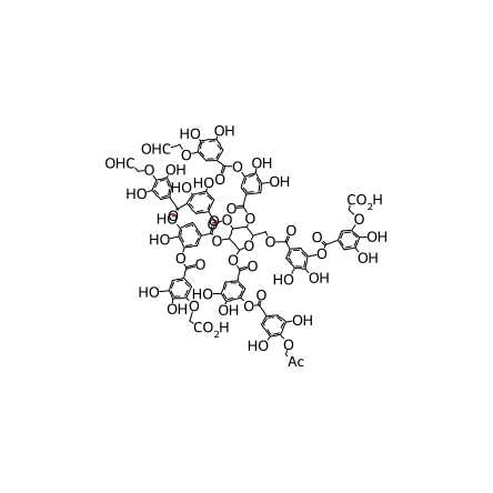 CC(=O)COc1c(O)cc(C(=O)Oc2cc(C(=O)OC3OC(COC(=O)c4cc(O)c(O)c(OC(=O)c5cc(O)c(O)c(OCC(=O)O)c5)c4)C(OC(=O)c4cc(O)c(O)c(OC(=O)c5cc(O)c(O)c(OCC=O)c5)c4)C(OC(=O)c4cc(O)c(O)c(C(=O)c5cc(O)c(OCC=O)c(O)c5)c4)C3OC(=O)c3cc(O)c(O)c(OC(=O)c4cc(O)c(O)c(OCC(=O)O)c4)c3)cc(O)c2O)cc1O